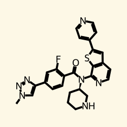 Cn1cc(-c2ccc(C(=O)N(c3nccc4cc(-c5ccncc5)sc34)[C@@H]3CCCNC3)c(F)c2)nn1